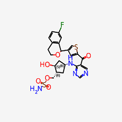 NS(=O)(=O)OC[C@H]1C[C@@H](Nc2ncncc2C(=O)c2cc(C3OCCc4ccc(F)cc43)cs2)C[C@@H]1O